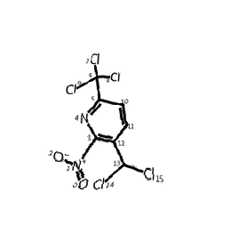 O=[N+]([O-])c1nc(C(Cl)(Cl)Cl)ccc1C(Cl)Cl